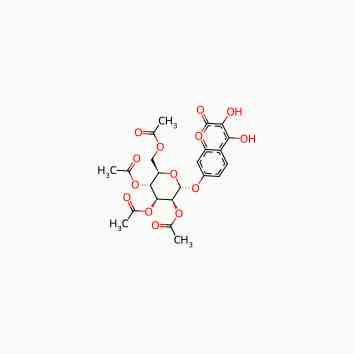 CC(=O)OC[C@H]1O[C@H](Oc2ccc3c(O)c(O)c(=O)oc3c2)[C@@H](OC(C)=O)[C@@H](OC(C)=O)[C@@H]1OC(C)=O